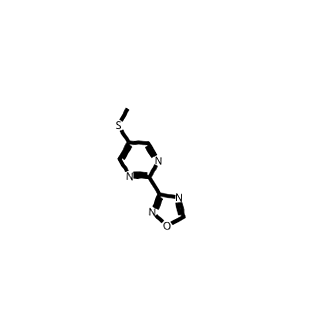 CSc1cnc(-c2ncon2)nc1